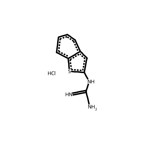 Cl.N=C(N)Nc1cc2ccccc2s1